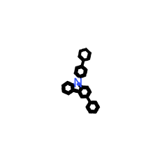 C1=CC(c2ccc(-n3c4ccccc4c4cc(-c5ccccc5)ccc43)cc2)=CCC1